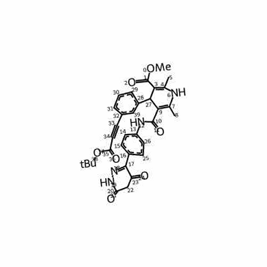 COC(=O)C1=C(C)NC(C)=C(C(=O)Nc2ccc(C3=NNC(=O)CC3=O)cc2)C1c1cccc(C#CC(=O)OC(C)(C)C)c1